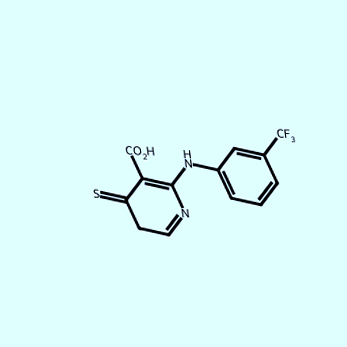 O=C(O)C1=C(Nc2cccc(C(F)(F)F)c2)N=CCC1=S